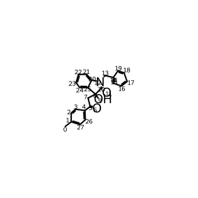 Cc1ccc(C(=O)CC2(O)C(=O)N(Cc3ccccc3)c3ccccc32)cc1